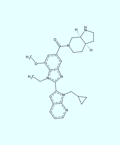 CCn1c(-c2cc3cccnc3n2CC2CC2)nc2cc(C(=O)N3CC[C@@H]4CCN[C@@H]4C3)cc(OC)c21